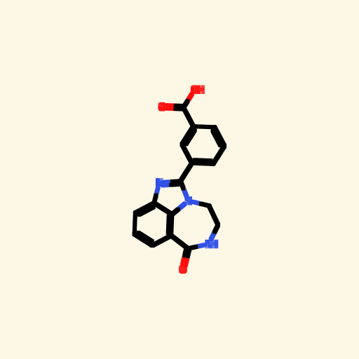 O=C(O)c1cccc(-c2nc3cccc4c3n2CCNC4=O)c1